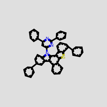 c1ccc(-c2ccc3c(c2)c2c4ccccc4c4sc5c(-c6ccccc6)cccc5c4c2n3-c2cc(-c3ccccc3)nc(-c3ccccc3)n2)cc1